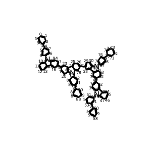 c1ccc(-c2ccc(-n3c4ccccc4c4cc(-c5ccc6c(c5)c5ccc(-c7ccc8c(c7)c7cc(-c9ccc%10c(c9)c9ccccc9n%10-c9cccc(-c%10ccccc%10)c9)ccc7n8-c7ccc(-c8ccccc8)cc7)cc5n6-c5ccc(-c6ccccc6)cc5)ccc43)cc2)cc1